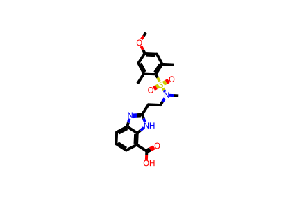 COc1cc(C)c(S(=O)(=O)N(C)CCc2nc3cccc(C(=O)O)c3[nH]2)c(C)c1